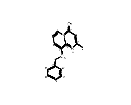 Cc1cc(=O)n2cccc(OCc3ccccc3)c2n1